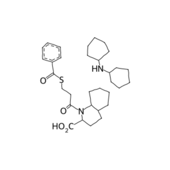 C1CCC(NC2CCCCC2)CC1.O=C(SCCC(=O)N1C(C(=O)O)CCC2CCCCC21)c1ccccc1